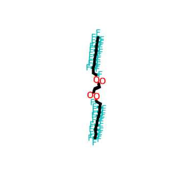 O=C(/C=C/C(=O)OC(F)CC(F)(F)C(F)(F)C(F)(F)C(F)(F)C(F)(F)C(F)(F)C(F)(F)C(F)(F)F)OC(F)CC(F)(F)C(F)(F)C(F)(F)C(F)(F)C(F)(F)C(F)(F)C(F)(F)C(F)(F)F